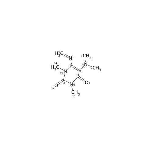 C=Nc1c(N(C)C)c(=O)n(C)c(=O)n1C